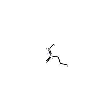 C=P(/CCC)=N/C